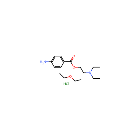 CCN(CC)CCOC(=O)c1ccc(N)cc1.CCOCC.Cl